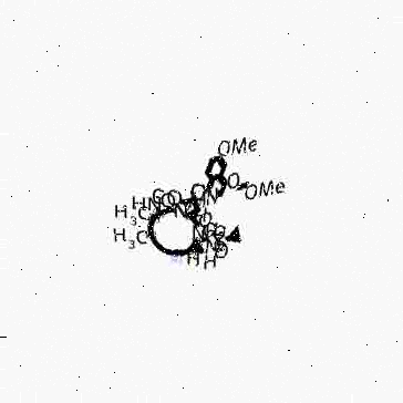 COCCOc1cnc(O[C@@H]2C[C@H]3C(=O)N[C@]4(C(=O)NS(=O)(=O)C5CC5)C[C@H]4/C=C\CC[C@@H](C)C[C@@H](C)[C@H](NC(=O)O)C(=O)N3C2)c2ccc(OC)cc12